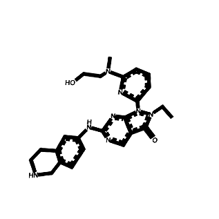 CCn1c(=O)c2cnc(Nc3ccc4c(c3)CCNC4)nc2n1-c1cccc(N(C)CCO)n1